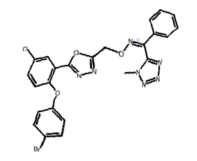 Cn1nnnc1/C(=N\OCc1nnc(-c2cc(Cl)ccc2Oc2ccc(Br)cc2)o1)c1ccccc1